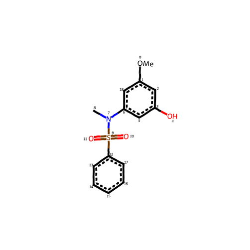 COc1cc(O)cc(N(C)S(=O)(=O)c2ccccc2)c1